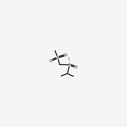 CC(C)[P@](C)(=O)CS(C)(=O)=O